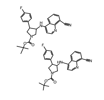 CC(C)(C)OC(=O)N1CC(Nc2ccnc3c(C#N)cccc23)C(c2ccc(F)cc2)C1.CC(C)(C)OC(=O)N1CC(Nc2ccnc3c(C#N)cccc23)C(c2ccc(F)cc2)C1